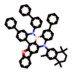 Cc1cc2c(cc1N1c3ccc(-c4ccccc4)cc3B3c4c1cc1c(oc5ccccc51)c4-c1ccc(-c4ccccc4)cc1N3c1cccc(-c3ccccc3)c1)C(C)(C)CCC2(C)C